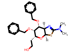 CN(C)C1=N[C@@H]2[C@@H](OCc3ccccc3)[C@@H](OCc3ccccc3)[C@@H](CCO)O[C@@H]2S1